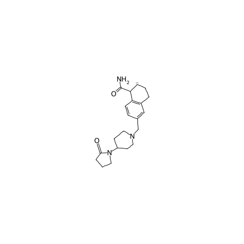 NC(=O)C1[C]CCc2cc(CN3CCC(N4CCCC4=O)CC3)ccc21